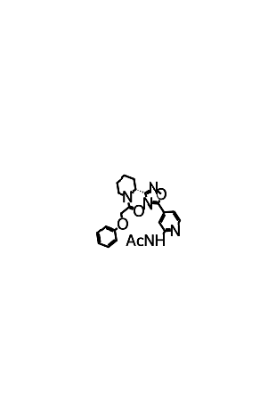 CC(=O)Nc1cc(-c2nc([C@H]3CCCCN3C(=O)COc3ccccc3)no2)ccn1